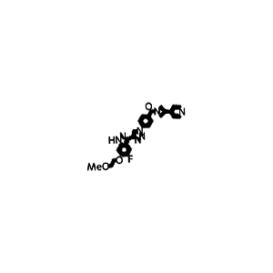 COCCOc1cc2[nH]nc(-c3cn(-c4ccc(C(=O)N5CC(c6ccncc6)C5)cc4)nn3)c2cc1F